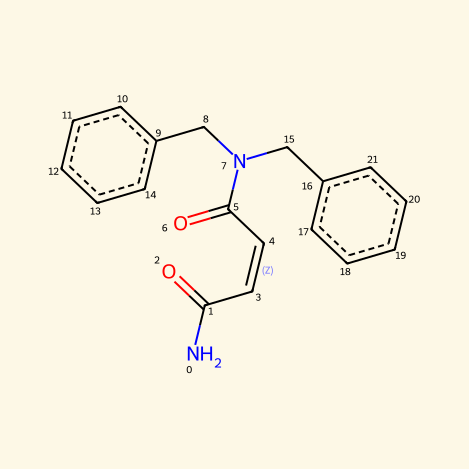 NC(=O)/C=C\C(=O)N(Cc1ccccc1)Cc1ccccc1